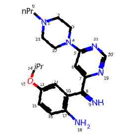 CCCN1CCN(c2cc(C(=N)c3cc(OC(C)C)ccc3N)ncn2)CC1